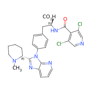 CN1CCCC[C@@H]1c1nc2cccnc2n1-c1ccc(C[C@H](NC(=O)c2c(Cl)cncc2Cl)C(=O)O)cc1